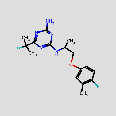 Cc1cc(OCC(C)Nc2nc(N)nc(C(C)(C)F)n2)ccc1F